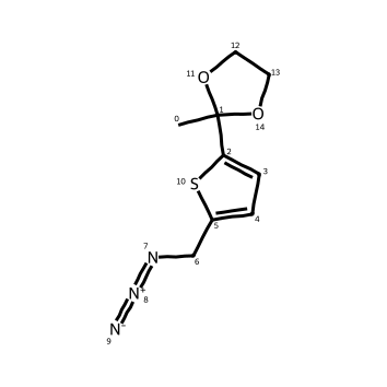 CC1(c2ccc(CN=[N+]=[N-])s2)OCCO1